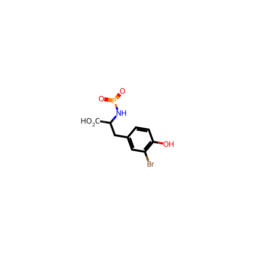 O=C(O)C(Cc1ccc(O)c(Br)c1)NP(=O)=O